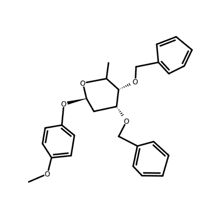 COc1ccc(O[C@@H]2C[C@@H](OCc3ccccc3)[C@@H](OCc3ccccc3)C(C)O2)cc1